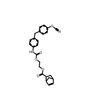 N#COc1ccc(Cc2ccc(NC(=O)OCCOC(=O)C3CC4C=CC3C4)cc2)cc1